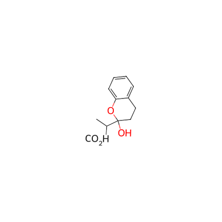 CC(C(=O)O)C1(O)CCc2ccccc2O1